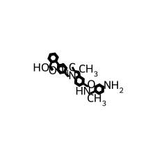 Cc1c(C)n(Cc2ccc(-c3ccccc3C(=O)O)cc2)c2ccc(C(=O)NC(C)c3ccc(N)cc3)cc12